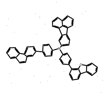 c1cc2c3c(cccc3c1)-c1cc(N(c3ccc(-c4ccc5c(ccc6ccccc65)c4)cc3)c3ccc(-c4cccc5c4oc4ccccc45)cc3)ccc1-2